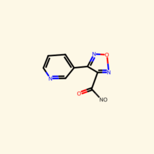 O=NC(=O)c1nonc1-c1cccnc1